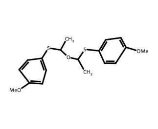 COc1ccc(SC(C)OC(C)Sc2ccc(OC)cc2)cc1